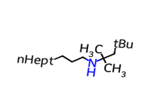 CCCCCCCCCCNC(C)(C)CC(C)(C)C